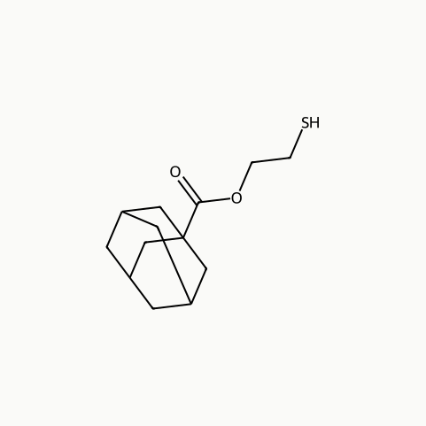 O=C(OCCS)C12CC3CC(CC(C3)C1)C2